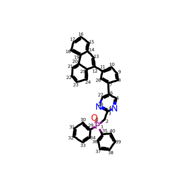 O=P(Cc1ncc(-c2cccc(-c3cc4ccccc4c4ccccc34)c2)cn1)(c1ccccc1)c1ccccc1